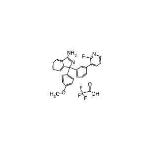 COc1ccc(C2(c3cccc(-c4cccnc4F)c3)N=C(N)c3ccccc32)cc1.O=C(O)C(F)(F)F